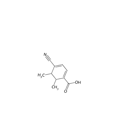 CC1C(C#N)=CC=C(C(=O)O)C1C